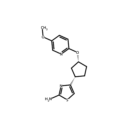 COc1ccc(O[C@@H]2CC[C@H](c3csc(N)n3)C2)nc1